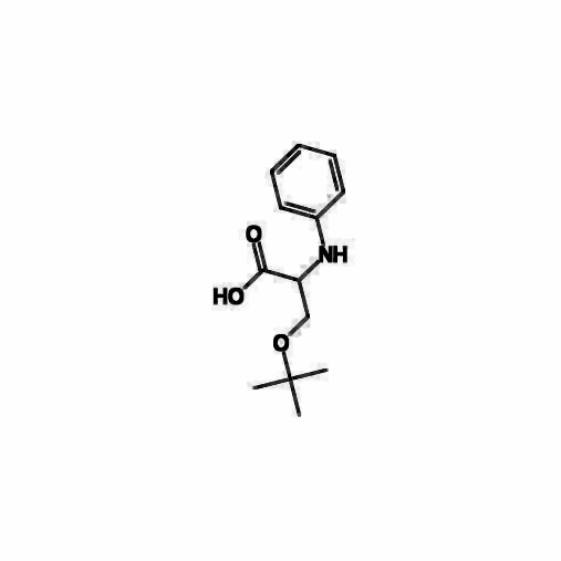 CC(C)(C)OCC(Nc1ccccc1)C(=O)O